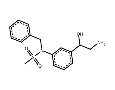 CS(=O)(=O)N(Cc1ccccc1)c1cccc(C(O)CN)c1